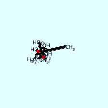 CCCCCCCCCCCCC(C(=O)O)(C(C(=O)O)C(CC(=O)O)C(=O)O)C1CCN(C)C(C)(C)C1(C)C